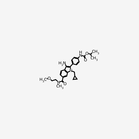 COCCN(C)C(=O)c1ccc2c(N)c(-c3ccc(NC(=O)OC(C)C)cc3)n(CC3CC3)c2c1